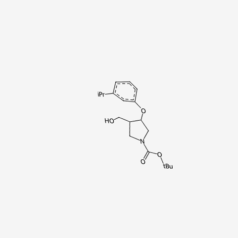 CC(C)c1cccc(OC2CN(C(=O)OC(C)(C)C)CC2CO)c1